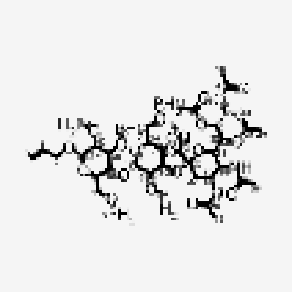 C=CCO[C@@H]1OC(COP)[C@@H](O[C@@H]2OC(COP)[C@H](O)C(O[C@]3(C(=O)OC)C[C@H](OC(C)=O)[C@@H](NC(C)=O)C([C@H](OC(C)=O)[C@@H](COC(C)=O)OC(C)=O)O3)[C@@H]2OP)C(OP)[C@@H]1OP